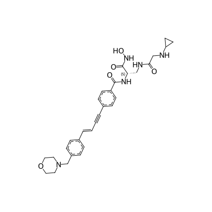 O=C(CNC1CC1)NC[C@H](NC(=O)c1ccc(C#CC=Cc2ccc(CN3CCOCC3)cc2)cc1)C(=O)NO